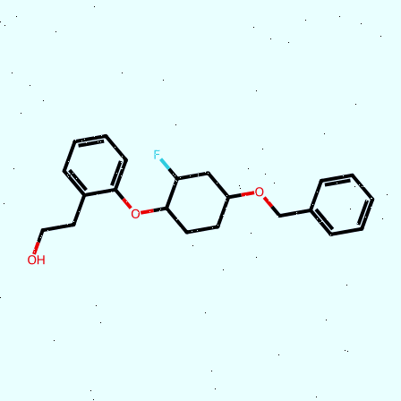 OCCc1ccccc1OC1CCC(OCc2ccccc2)CC1F